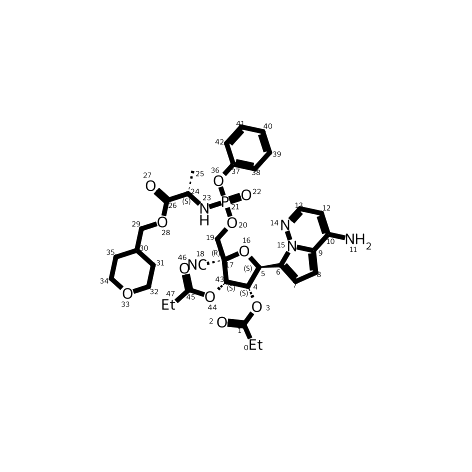 CCC(=O)O[C@H]1[C@H](c2ccc3c(N)ccnn23)O[C@](C#N)(COP(=O)(N[C@@H](C)C(=O)OCC2CCOCC2)Oc2ccccc2)[C@H]1OC(=O)CC